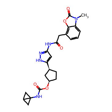 Cn1c(=O)oc2c(CC(=O)Nc3cc([C@H]4CC[C@@H](OC(=O)NC56CC5C6)C4)[nH]n3)cccc21